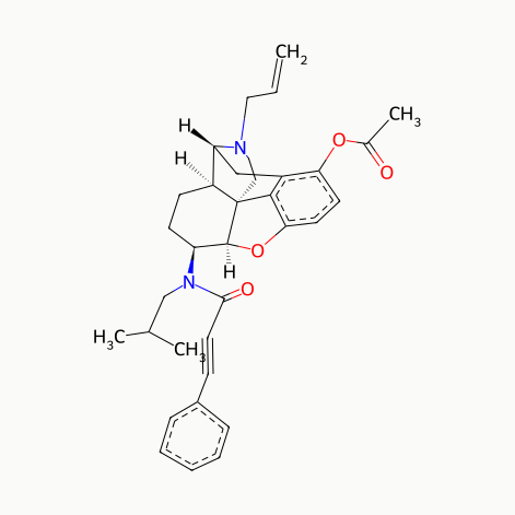 C=CCN1CC[C@@]23c4c5ccc(OC(C)=O)c4C[C@@H]1[C@@H]2CC[C@H](N(CC(C)C)C(=O)C#Cc1ccccc1)[C@@H]3O5